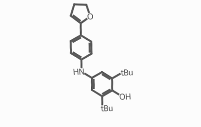 CC(C)(C)c1cc(Nc2ccc(C3=CCCO3)cc2)cc(C(C)(C)C)c1O